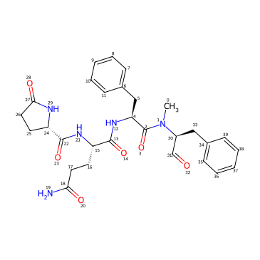 CN(C(=O)[C@H](Cc1ccccc1)NC(=O)[C@H](CCC(N)=O)NC(=O)[C@@H]1CCC(=O)N1)[C@H]([C]=O)Cc1ccccc1